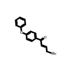 CCC(C)C/C=C/C(=O)c1ccc(Oc2ccccc2)cc1